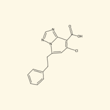 O=C(O)c1c(Cl)cc(CCc2ccccc2)n2ncnc12